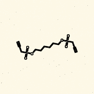 C#CCS(=O)(=O)OCCCCCCOS(=O)(=O)CC#C